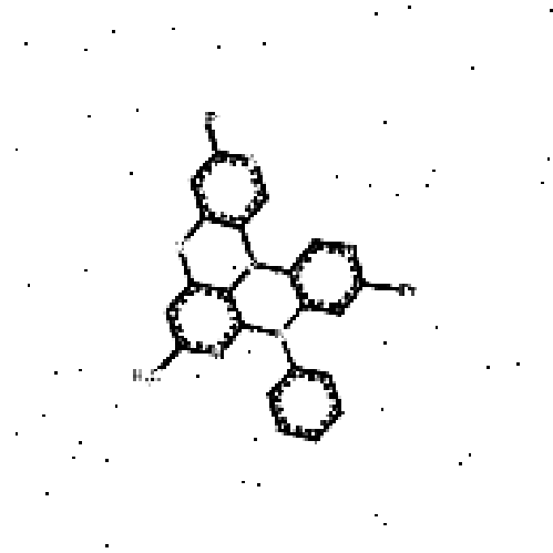 Cc1cc2c3c(n1)N(c1ccccc1)c1cc(C(C)C)ncc1B3c1cnc(C(C)C)cc1O2